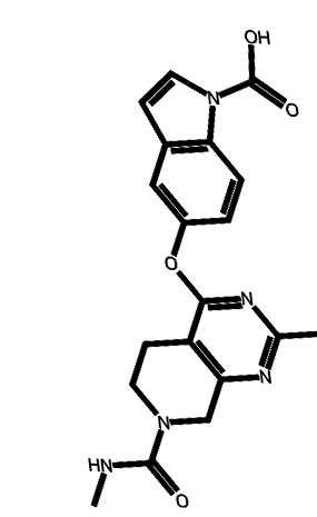 CNC(=O)N1CCc2c(nc(C)nc2Oc2ccc3c(ccn3C(=O)O)c2)C1